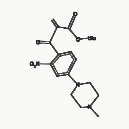 C=C(C(=O)OC(C)(C)C)C(=O)c1ccc(N2CCN(C)CC2)cc1[N+](=O)[O-]